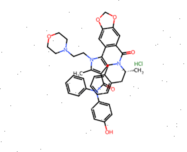 Cc1c(C(=O)N(c2ccccc2)c2ccc(O)cc2)cc(-c2cc3c(cc2C(=O)N2Cc4ccccc4C[C@H]2C)OCO3)n1CCN1CCOCC1.Cl